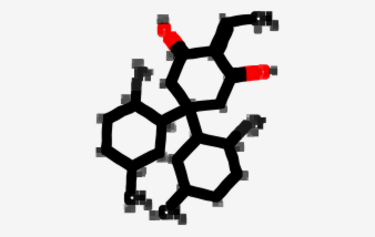 CC=C1C(=O)CC(C2CC(C)CCC2C(C)C)(C2CC(C)CCC2C(C)C)CC1=O